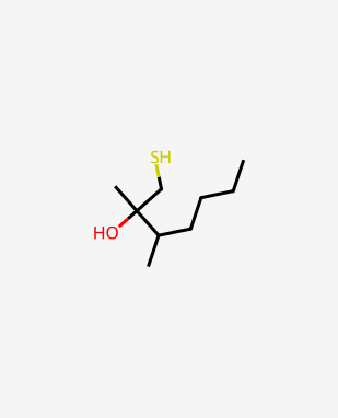 CCCCC(C)C(C)(O)CS